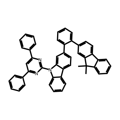 CC1(C)c2ccccc2-c2ccc(-c3ccccc3-c3ccc4c5ccccc5n(-c5nc(-c6ccccc6)cc(-c6ccccc6)n5)c4c3)cc21